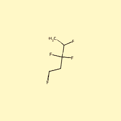 [CH2]C(F)C(F)(F)CCF